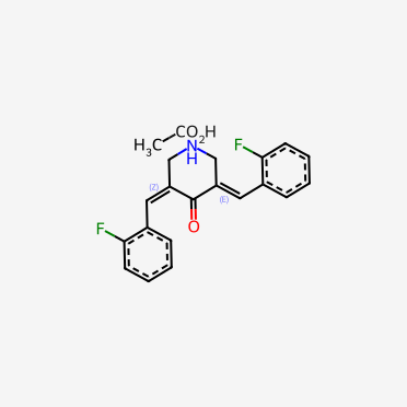 CC(=O)O.O=C1/C(=C\c2ccccc2F)CNC/C1=C\c1ccccc1F